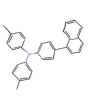 Cc1ccc(N(c2ccc(C)cc2)c2ccc(-c3cccc4ccccc34)cc2)cc1